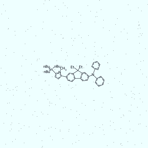 CCC[CH2][Sn]([CH2]CCC)([CH2]CCC)[c]1ccc(-c2ccc3c(c2)C(CC)(CC)c2cc(N(c4ccccc4)c4ccccc4)ccc2-3)n1C